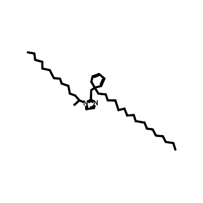 CCCCCCCCCCCCCCCCCC1(Cc2nccn2C(C)CCCCCCCCCCCC)C=CC=CC1